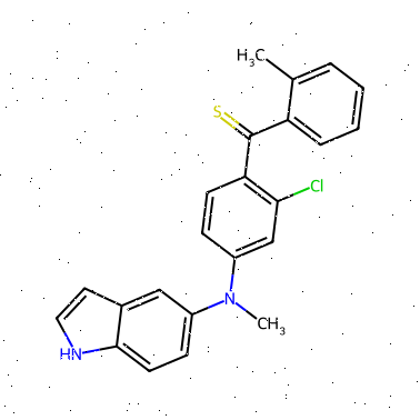 Cc1ccccc1C(=S)c1ccc(N(C)c2ccc3[nH]ccc3c2)cc1Cl